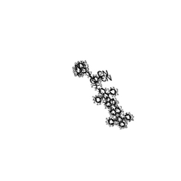 CC(C)(Cc1ccc2c(-c3ccccc3)c3c(c(-c4ccccc4)c2c1)-c1ccc2c4ccc5c6c(ccc(c7ccc-3c1c72)c64)-c1c-5c(-c2ccccc2)c2ccccc2c1-c1ccccc1)C1=CC(=C(C#N)C#N)C=C(/C=C/c2cc3c4c(c2)C(C)(C)CCN4CCC3(C)C)O1